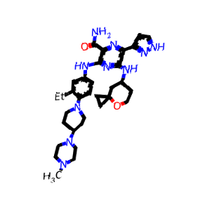 CCc1cc(Nc2nc(NC3CCOC4(CC4)C3)c(-c3cc[nH]n3)nc2C(N)=O)ccc1N1CCC(N2CCN(C)CC2)CC1